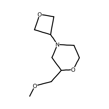 COCC1CN(C2COC2)CCO1